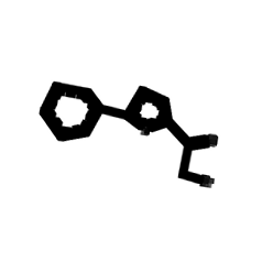 O=C(CBr)c1ccc(-c2ccccc2)s1